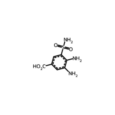 Nc1cc(C(=O)O)cc(S(N)(=O)=O)c1N